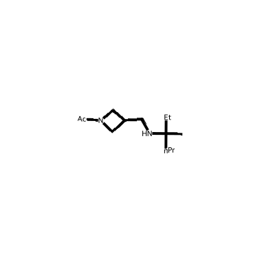 CCCC(C)(CC)NCC1CN(C(C)=O)C1